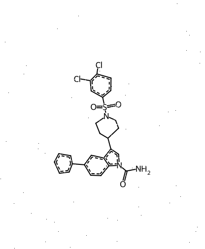 NC(=O)n1cc(C2CCN(S(=O)(=O)c3ccc(Cl)c(Cl)c3)CC2)c2cc(-c3ccccc3)ccc21